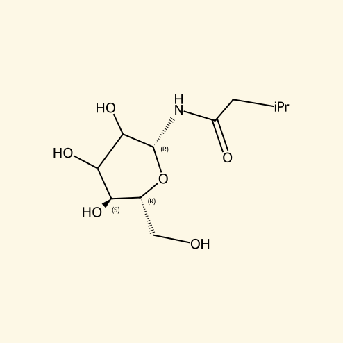 CC(C)CC(=O)N[C@@H]1O[C@H](CO)[C@@H](O)C(O)C1O